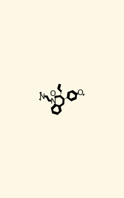 C=CC[C@H]1C(=O)N(CCN(C)C)c2ccccc2C[C@H]1c1ccc(OC)cc1